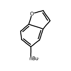 CCC[CH]c1ccc2occc2c1